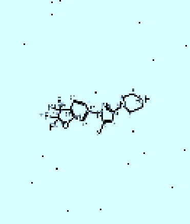 Cc1cc(N2CCNCC2)nn1-c1ccc2c(c1)OC(F)(F)C2(F)F